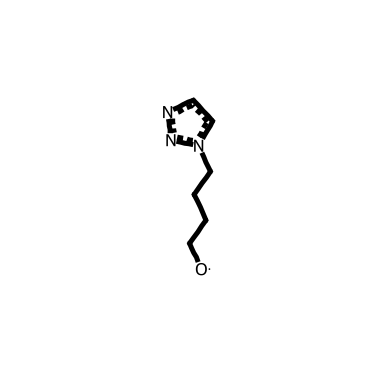 [O]CCCCn1ccnn1